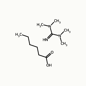 CCCCCC(=O)O.CN(C)C(=N)N(C)C